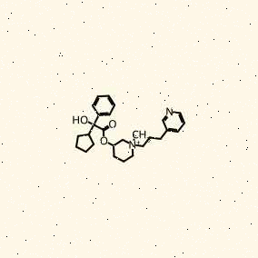 C[N+]1(CCCc2cccnc2)CCCC(OC(=O)C(O)(c2ccccc2)C2CCCC2)C1